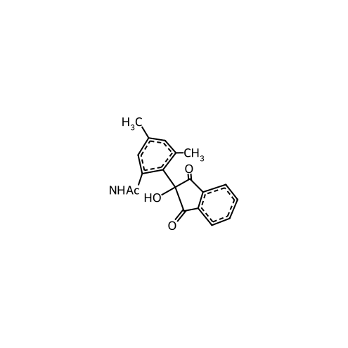 CC(=O)Nc1cc(C)cc(C)c1C1(O)C(=O)c2ccccc2C1=O